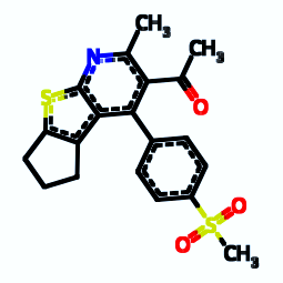 CC(=O)c1c(C)nc2sc3c(c2c1-c1ccc(S(C)(=O)=O)cc1)CCC3